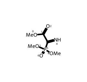 COC(=O)C(=N)P(=O)(OC)OC